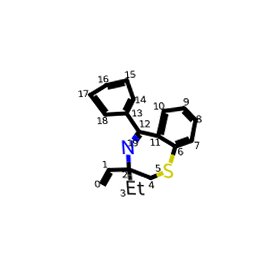 C=CC1(CC)CSc2ccccc2C(c2ccccc2)=N1